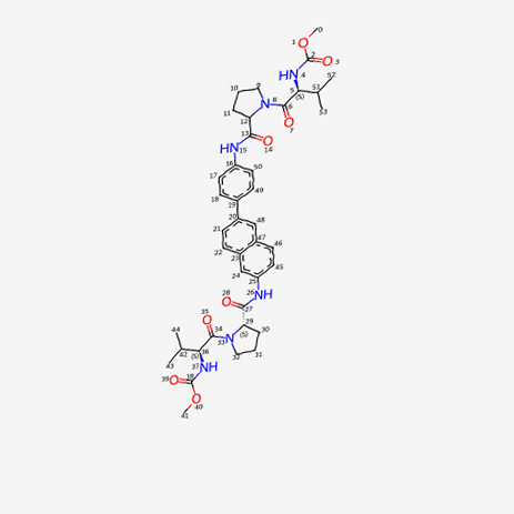 COC(=O)N[C@H](C(=O)N1CCCC1C(=O)Nc1ccc(-c2ccc3cc(NC(=O)[C@@H]4CCCN4C(=O)[C@@H](NC(=O)OC)C(C)C)ccc3c2)cc1)C(C)C